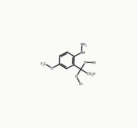 CCOC(OCC)(C(=O)O)c1cc(OC(F)(F)F)ccc1NN